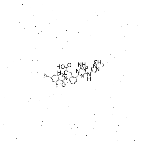 CC(Cc1c(-c2nc(N)nc(Nc3cnn(C)c3)n2)cccc1-n1ccc2cc(C3CC3)cc(F)c2c1=O)C(=O)O